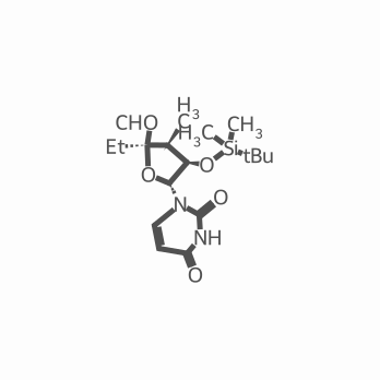 CC[C@@]1(C=O)O[C@@H](n2ccc(=O)[nH]c2=O)[C@H](O[Si](C)(C)C(C)(C)C)[C@@H]1C